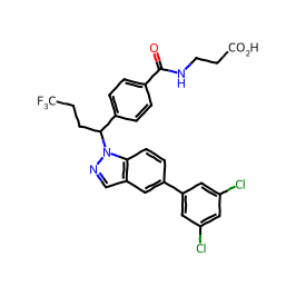 O=C(O)CCNC(=O)c1ccc(C(CCC(F)(F)F)n2ncc3cc(-c4cc(Cl)cc(Cl)c4)ccc32)cc1